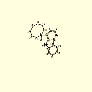 CC1(c2cccc3c2[N]c2ccccc2-3)CCCCCCC1